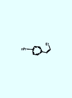 CC/C=[C]\c1ccc(CCC)cc1